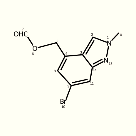 Cn1cc2c(COC=O)cc(Br)cc2n1